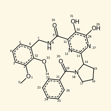 COc1cccc(CNC(=O)c2nc(C3CCCN3C(=O)c3ccccc3)nc(O)c2O)c1OC